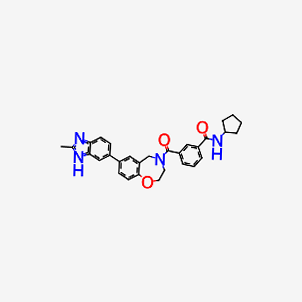 Cc1nc2ccc(-c3ccc4c(c3)CN(C(=O)c3cccc(C(=O)NC5CCCC5)c3)CCO4)cc2[nH]1